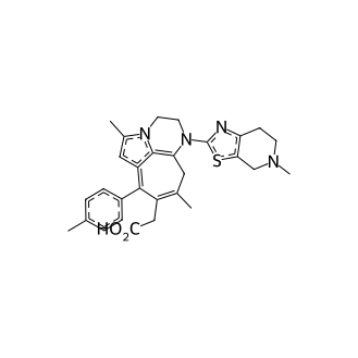 CC1=C(CC(=O)O)C(c2ccc(C)cc2)=c2cc(C)n3c2=C(C1)N(c1nc2c(s1)CN(C)CC2)CC3